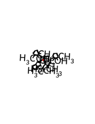 CC1=Cc2ccccc2[CH]1[Zr]([CH]1C(C)=Cc2ccccc21)[SiH](C)C.Cc1cccc(C)c1O.Cc1cccc(C)c1O